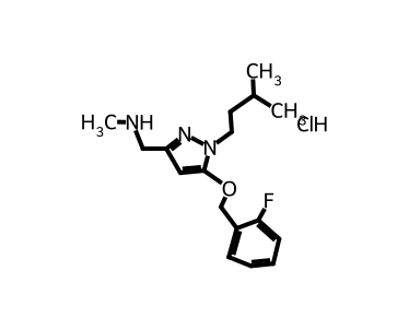 CNCc1cc(OCc2ccccc2F)n(CCC(C)C)n1.Cl